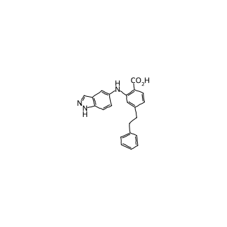 O=C(O)c1ccc(CCc2ccccc2)cc1Nc1ccc2[nH]ncc2c1